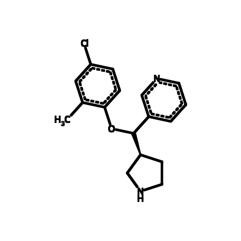 Cc1cc(Cl)ccc1OC(c1cccnc1)[C@H]1CCNC1